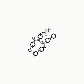 CC(C)(C)OC(=O)CN1CCC2(CC1)CC2C(=O)N1CCN(C2CCC2)CC1.O=C(C1CC12CCN(c1ccncc1)CC2)N1CCN(C2CCCCC2)CC1